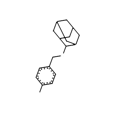 Fc1ccc(CNC2C3CC4CC(C3)CC2C4)cc1